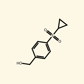 O=S(=O)(c1ccc(CO)cc1)C1CC1